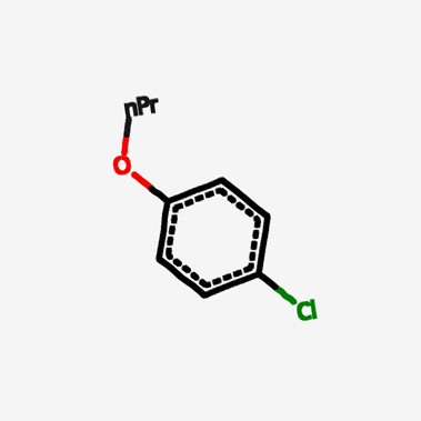 C[CH]COc1ccc(Cl)cc1